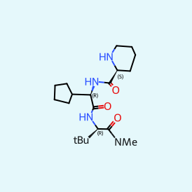 CNC(=O)[C@H](NC(=O)[C@H](NC(=O)[C@@H]1CCCCN1)C1CCCC1)C(C)(C)C